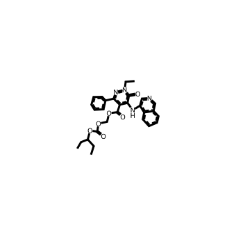 CCC(CC)OC(=O)OCOC(=O)c1c(-c2ccccc2)nn(CC)c(=O)c1Nc1cncc2ccccc12